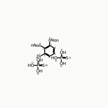 CCCCCCCCCc1ccc[c]([Zn])c1CCCCCCCCC.OP(O)(O)=S.OP(O)(O)=S